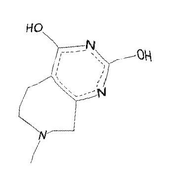 CN1CCc2c(O)nc(O)nc2C1